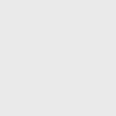 CC(=O)C(C(=O)[O][Ti])C(C)(OC(C)C)OC(C)C